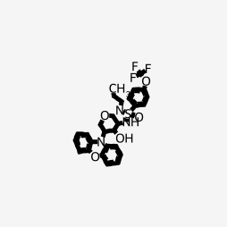 CCCN=S(=O)(NC1COCC(N2c3ccccc3Oc3ccccc32)C1O)c1ccc(OC(F)(F)F)cc1